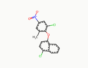 Cc1cc([N+](=O)[O-])cc(Cl)c1Oc1ccc(Cl)c2ccccc12